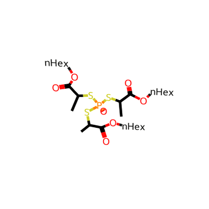 CCCCCCOC(=O)C(C)SP(=O)(SC(C)C(=O)OCCCCCC)SC(C)C(=O)OCCCCCC